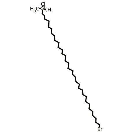 C[Si](C)(Cl)CCCCCCCCCCCCCCCCCCCCCCCCCCCCCCCCCCBr